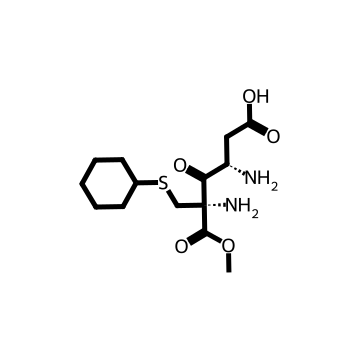 COC(=O)[C@@](N)(CSC1CCCCC1)C(=O)[C@@H](N)CC(=O)O